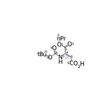 CCCOC(=O)/C(=C/C(=O)O)NC(=O)OC(C)(C)C